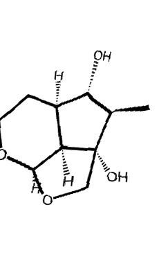 C[C@@H]1[C@@H](O)[C@@H]2CCO[C@@H]3OC[C@@]1(O)[C@@H]32